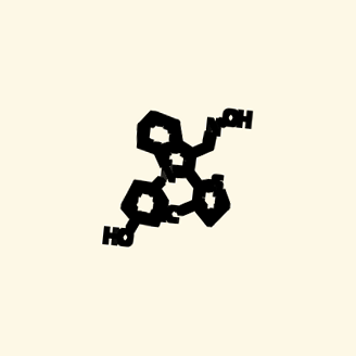 N#Cc1ccsc1-c1c(C=NO)c2ccccc2n1-c1ccc(O)cc1